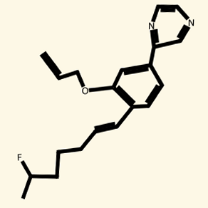 C=CCOc1cc(-c2cnccn2)ccc1C=CCCCC(C)F